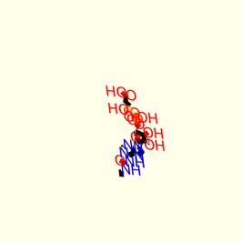 CCNC(=O)Nc1ncnc2c1ncn2[C@@H]1O[C@H](COP(=O)(O)OP(=O)(O)CCC(=O)O)C(O)[C@@H]1O